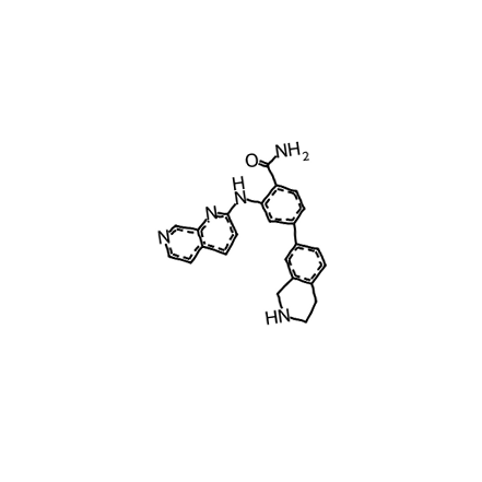 NC(=O)c1ccc(-c2ccc3c(c2)CNCC3)cc1Nc1ccc2ccncc2n1